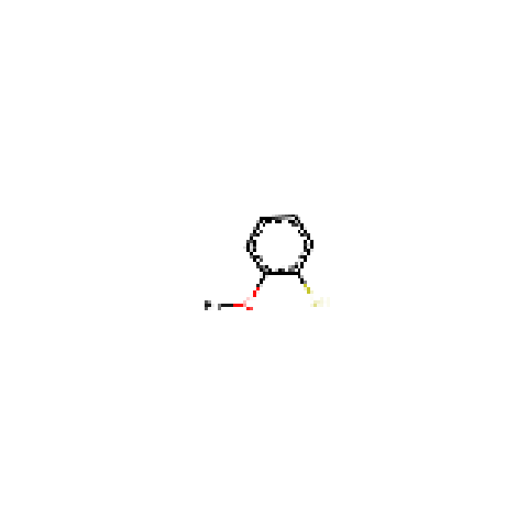 CC(C)(C)Oc1ccccc1S